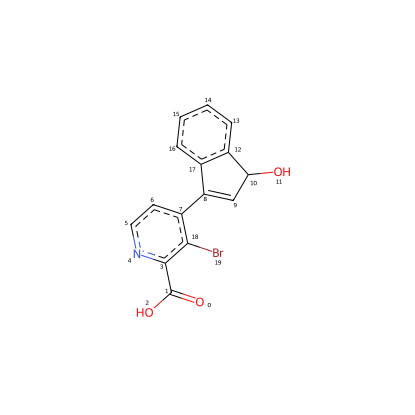 O=C(O)c1nccc(C2=CC(O)c3ccccc32)c1Br